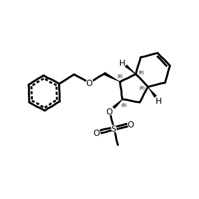 CS(=O)(=O)O[C@@H]1C[C@H]2CC=CC[C@H]2[C@@H]1COCc1ccccc1